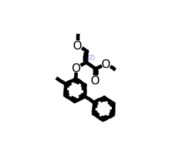 CO/C=C(\Oc1cc(-c2ccccc2)ccc1C)C(=O)OC